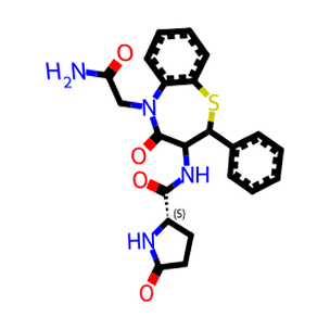 NC(=O)CN1C(=O)C(NC(=O)[C@@H]2CCC(=O)N2)C(c2ccccc2)Sc2ccccc21